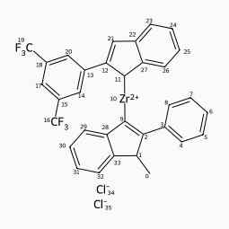 CC1C(c2ccccc2)=[C]([Zr+2][CH]2C(c3cc(C(F)(F)F)cc(C(F)(F)F)c3)=Cc3ccccc32)c2ccccc21.[Cl-].[Cl-]